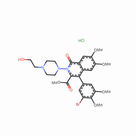 COC(=O)c1c(-c2cc(Br)c(OC)c(OC)c2)c2cc(OC)c(OC)cc2c(=O)n1N1CCN(CCO)CC1.Cl